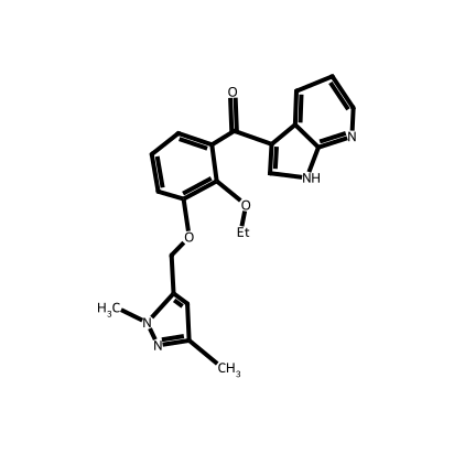 CCOc1c(OCc2cc(C)nn2C)cccc1C(=O)c1c[nH]c2ncccc12